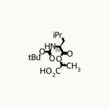 CC(C)C[C@H](NC(=O)OC(C)(C)C)C(=O)O[C@@H](C)C(=O)O